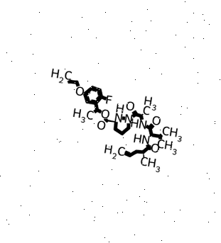 C=CCOc1ccc(F)c(C(C)OC(=O)[C@@H]2CCCN(C(=O)[C@H](C)NC(=O)[C@@H](NC(=O)[C@H](C)CC=C)C(C)C)N2)c1